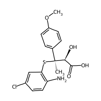 COc1ccc([C@](C)(Sc2cc(Cl)ccc2N)[C@@H](O)C(=O)O)cc1